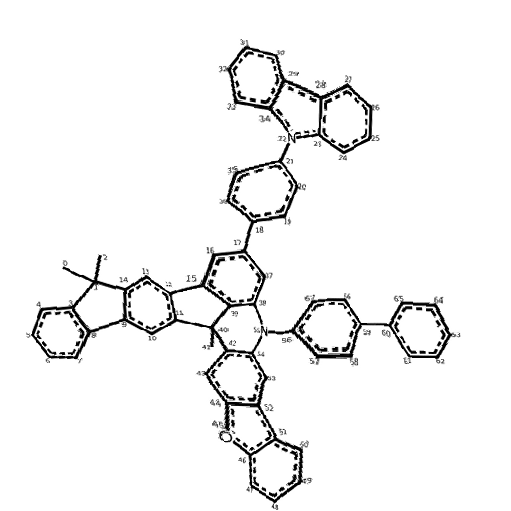 CC1(C)c2ccccc2-c2cc3c(cc21)-c1cc(-c2ccc(-n4c5ccccc5c5ccccc54)cc2)cc2c1C3(C)c1cc3oc4ccccc4c3cc1N2c1ccc(-c2ccccc2)cc1